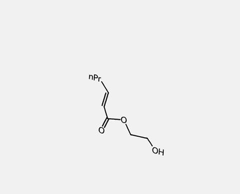 CCCC=CC(=O)OCCO